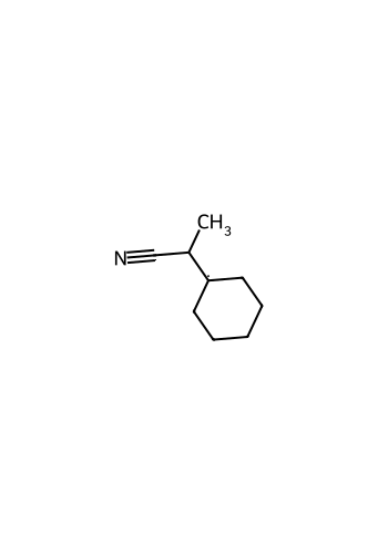 CC(C#N)[C]1CCCCC1